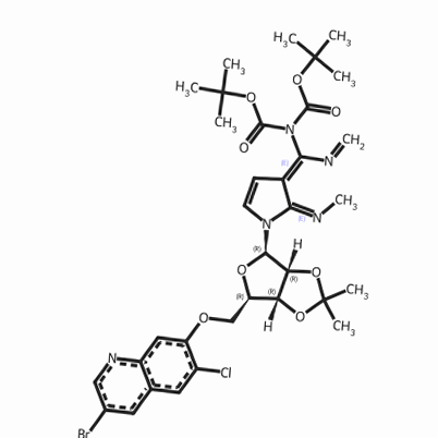 C=N/C(=C1/C=CN([C@@H]2O[C@H](COc3cc4ncc(Br)cc4cc3Cl)[C@H]3OC(C)(C)O[C@H]32)/C1=N/C)N(C(=O)OC(C)(C)C)C(=O)OC(C)(C)C